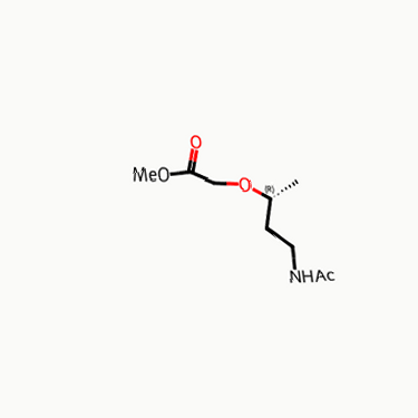 COC(=O)CO[C@H](C)CCNC(C)=O